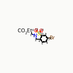 CCOC(=O)CN1Cc2ccc(Br)cc2S1(=O)=O